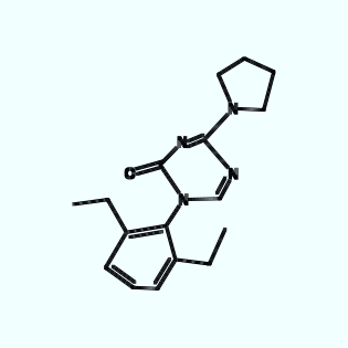 CCc1cccc(CC)c1-n1cnc(N2CCCC2)nc1=O